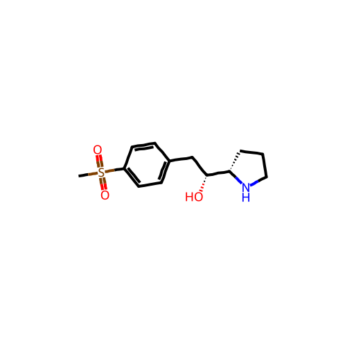 CS(=O)(=O)c1ccc(C[C@@H](O)[C@@H]2CCCN2)cc1